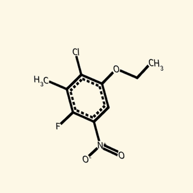 CCOc1cc([N+](=O)[O-])c(F)c(C)c1Cl